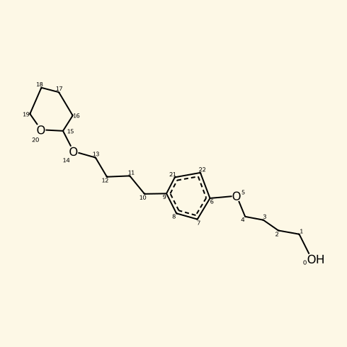 OCCCCOc1ccc(CCCCOC2CCCCO2)cc1